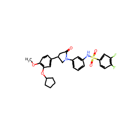 COc1ccc(C2CC(=O)N(c3cccc(NS(=O)(=O)c4ccc(F)c(F)c4)c3)C2)cc1OC1CCCC1